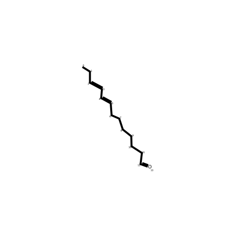 CCC=CC=CCCCCCCC=O